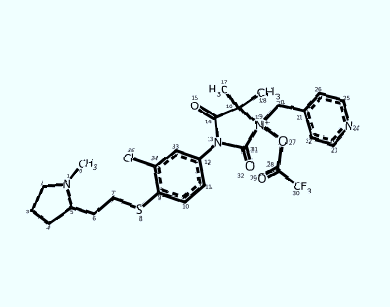 CN1CCCC1CCSc1ccc(N2C(=O)C(C)(C)[N+](Cc3ccncc3)(OC(=O)C(F)(F)F)C2=O)cc1Cl